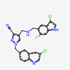 N#Cc1nn(Cc2ccc3ncc(Cl)cc3c2)cc1CNCc1cc2c(Cl)c[nH]c2cc1F